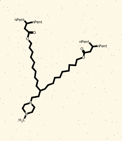 CCCCCC(CCCCC)CC(=O)OCCCCCCCCCCC(CCCCCCCCCCOC(=O)CC(CCCCC)CCCCC)CCN1CCN(C)CC1